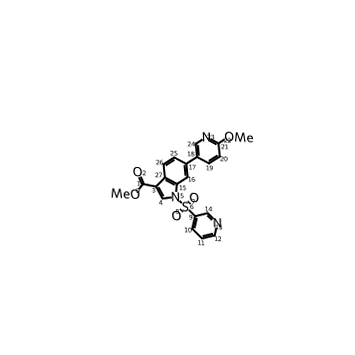 COC(=O)c1cn(S(=O)(=O)c2cccnc2)c2cc(-c3ccc(OC)nc3)ccc12